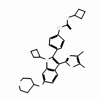 Cc1nc(-c2c(-c3ccc(NC(=O)NC4CCC4)cc3)n(C3CCC3)c3cc(OC4CCOCC4)ccc23)sc1C